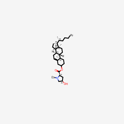 CCN1C[C@H](O)C[C@@H]1C(=O)OC1CC[C@@]2(C)C(=CC[C@H]3[C@@H]4CC[C@H]([C@H](C)CCCC(C)C)[C@@]4(C)CC[C@@H]32)C1